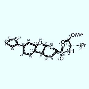 COC(=O)[C@@H](NS(=O)(=O)c1ccc2c(c1)oc1cc(-c3cncs3)ccc12)C(C)C